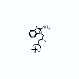 C[C@H](C[C@H]1COC(C)(C)O1)Cn1c(N)nc2ccccc21